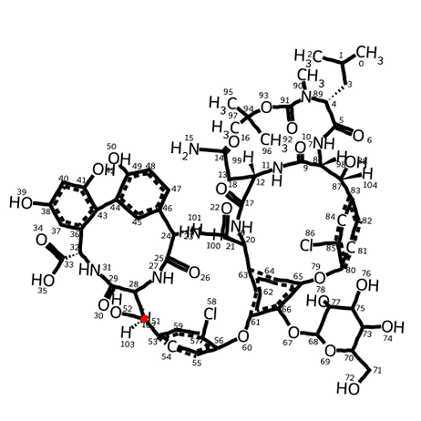 CC(C)C[C@H](C(=O)N[C@H]1C(=O)N[C@@H](CC(N)=O)C(=O)N[C@H]2C(=O)N[C@H]3C(=O)N[C@H](C(=O)N[C@H](C(=O)O)c4cc(O)cc(O)c4-c4cc3ccc4O)[C@H](O)c3ccc(c(Cl)c3)Oc3cc2cc(c3OC2OC(CO)C(O)C(O)C2O)Oc2ccc(cc2Cl)[C@H]1O)N(C)C(=O)OC(C)(C)C